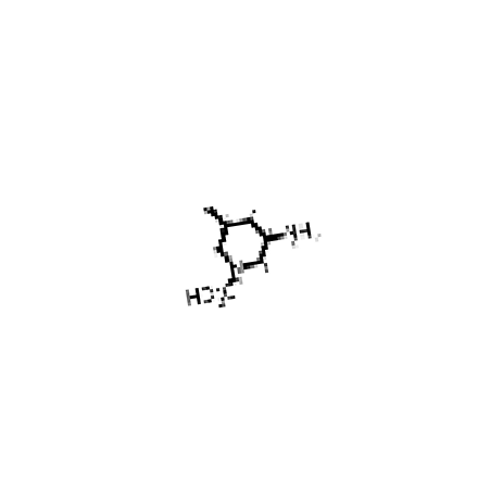 CC1CC(N)CN(C(=O)O)C1